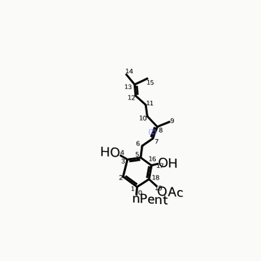 CCCCCc1cc(O)c(C/C=C(/C)CCC=C(C)C)c(O)c1OC(C)=O